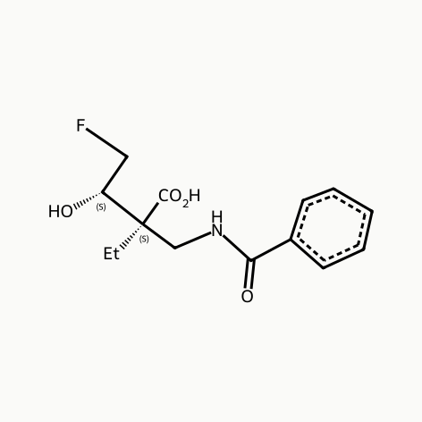 CC[C@@](CNC(=O)c1ccccc1)(C(=O)O)[C@H](O)CF